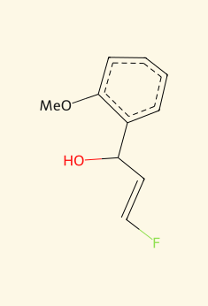 COc1ccccc1C(O)C=CF